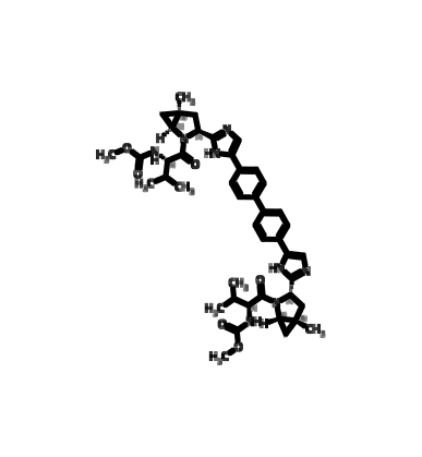 COC(=O)N[C@H](C(=O)N1[C@H]2C[C@@]2(C)C[C@H]1c1ncc(-c2ccc(-c3ccc(-c4cnc([C@@H]5C[C@]6(C)C[C@@H]6N5C(=O)[C@@H](NC(=O)OC)C(C)C)[nH]4)cc3)cc2)[nH]1)C(C)C